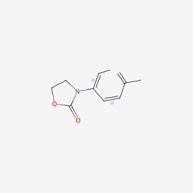 C=C(C)/C=C\C(=C/C)N1CCOC1=O